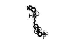 O=C(NCCCCC1CCN(S(=O)(=O)c2cccc(C(F)(F)F)c2)CC1)c1ccc2ccncc2c1